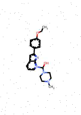 CCOc1ccc(-c2cc3cccn(C(O)N4CCN(C)CC4)c-3n2)cc1